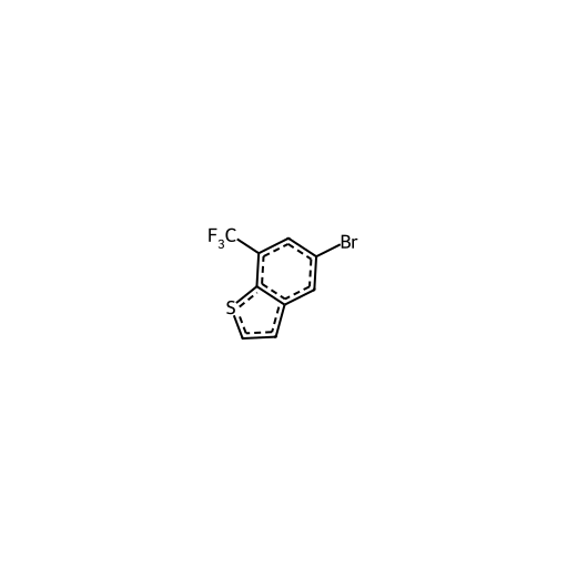 FC(F)(F)c1cc(Br)cc2ccsc12